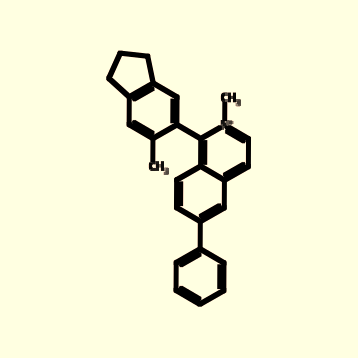 Cc1cc2c(cc1-c1c3ccc(-c4ccccc4)cc3cc[n+]1C)CCC2